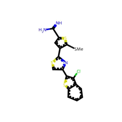 CSc1sc(C(=N)N)cc1-c1nc(-c2sc3ccccc3c2Cl)cs1